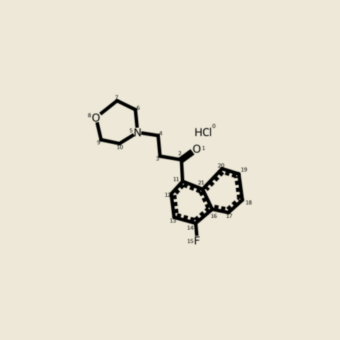 Cl.O=C(CCN1CCOCC1)c1ccc(F)c2ccccc12